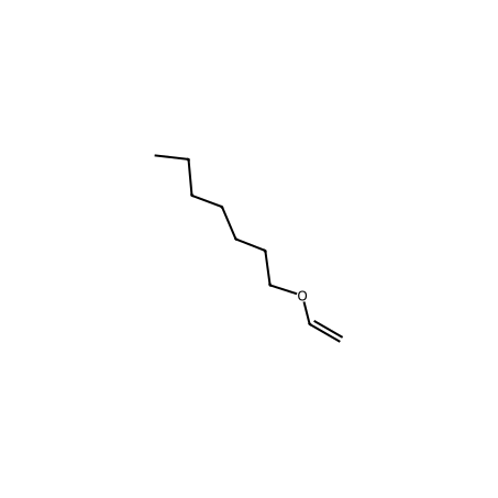 C=COCCCCCCC